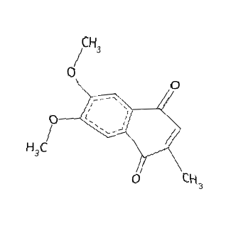 COc1cc2c(cc1OC)C(=O)C(C)=CC2=O